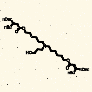 CCCCCCCCCCC(=CC(=O)OCCCCCCN(CCCO)CCCCCCOC(=O)/C=C(\CCCC)CCCCCCCCCC)CCCC